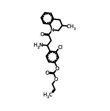 C=CCOC(=O)Oc1ccc(C(N)CC(=O)N2CC(C)Cc3ccccc32)c(Cl)c1